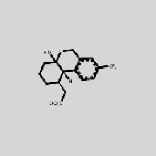 CCOC(=O)C[C@H]1CCCC2(O)OCc3cc(C(F)(F)F)ccc3[C@H]12